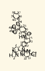 Nc1ncccc1-c1nc2ccc(Cl)nc2n1-c1ccc2c(c1)CC[C@@H]2NC(=O)c1ccc(OCc2ccccc2)c(C2OCCO2)c1